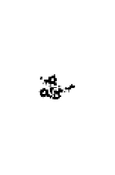 CCCCNC(=O)C1CCC[N+](CC(=O)Nc2c(C)cccc2C(=O)OC)(Cc2ccccc2)C1